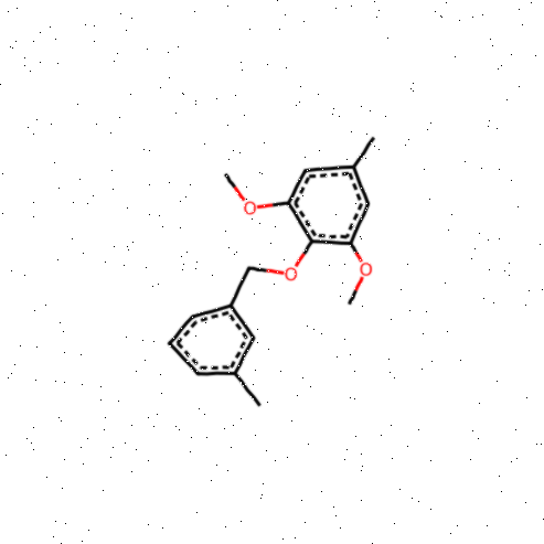 COc1cc(C)cc(OC)c1OCc1cccc(C)c1